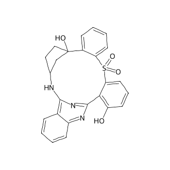 O=S1(=O)c2ccccc2C2(O)CCC(C2)Nc2nc(nc3ccccc23)-c2c(O)cccc21